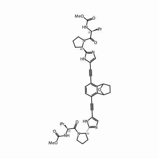 COC(=O)N[C@H](C(=O)N1CCC[C@@H]1c1ncc(C#Cc2ccc(C#Cc3cnc([C@@H]4CCCN4C(=O)[C@@H](NC(=O)OC)C(C)C)[nH]3)c3c2C2CCC3O2)[nH]1)C(C)C